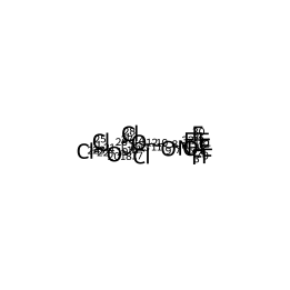 FC(F)(F)C(ON=CCOCCCCOc1c(Cl)cc(OCC=C(Cl)Cl)cc1Cl)C(F)(F)F